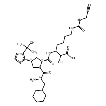 C#CCNC(=O)NCCCCC(NC(=O)[C@@H]1C[C@H](n2nncc2C(C)(C)O)CN1C(=O)[C@H](N)CC1CCCCC1)C(O)C(N)=O